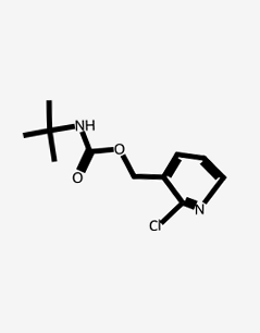 CC(C)(C)NC(=O)OCc1cccnc1Cl